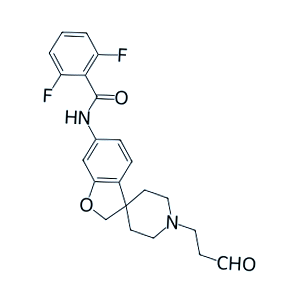 O=CCCN1CCC2(CC1)COc1cc(NC(=O)c3c(F)cccc3F)ccc12